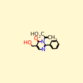 C=C(C(=O)O)n1c(-c2ccccc2)ncc(CO)c1=O